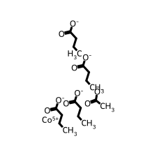 CC(=O)[O-].CCCC(=O)[O-].CCCC(=O)[O-].CCCC(=O)[O-].CCCC(=O)[O-].[Co+5]